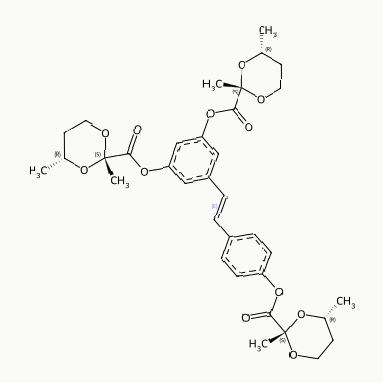 C[C@@H]1CCO[C@](C)(C(=O)Oc2ccc(/C=C/c3cc(OC(=O)[C@@]4(C)OCC[C@@H](C)O4)cc(OC(=O)[C@@]4(C)OCC[C@@H](C)O4)c3)cc2)O1